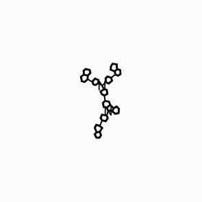 c1ccc2cc(-c3ccc(-n4c5ccccc5c5cc(-c6ccc(N(c7ccc(-c8cccc9ccccc89)cc7)c7ccc(-c8cccc9ccccc89)cc7)cc6)ccc54)cc3)ccc2c1